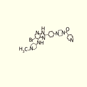 CCN1CCC(Nc2c(Br)cnc3[nH]c(-c4ccc(N5CCN(C(=O)c6ccncc6)CC5)cc4)nc23)CC1